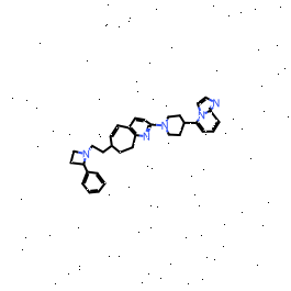 C1=CC(CCN2CCC2c2ccccc2)CCc2nc(N3CCC(c4cccc5nccn45)CC3)ccc21